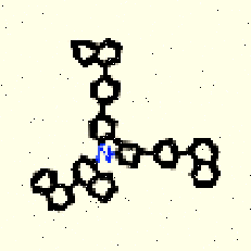 c1ccc2c(-c3ccc(-c4ccc5c(c4)c4cc(-c6ccc(-c7cccc8ccccc78)cc6)ccc4n5-c4ccc(-c5cccc6ccccc56)c5ccccc45)cc3)cccc2c1